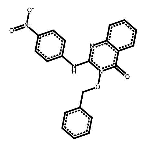 O=c1c2ccccc2nc(Nc2ccc([N+](=O)[O-])cc2)n1OCc1ccccc1